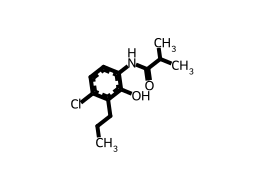 CCCc1c(Cl)ccc(NC(=O)C(C)C)c1O